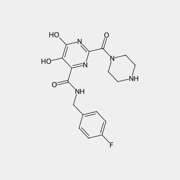 O=C(NCc1ccc(F)cc1)c1nc(C(=O)N2CCNCC2)nc(O)c1O